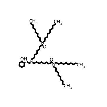 CCCCCCCCCCN(CCCCCCCCCC)C(=O)CCCCCCCN(CCCCCCCC(=O)N(CCCCCCCCCC)CCCCCCCCCC)CC[C@@H]1CCCC[C@@H]1O